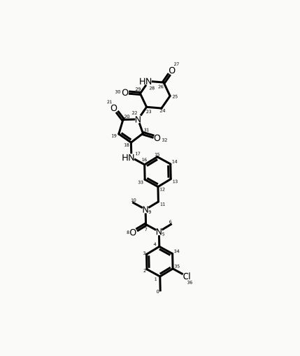 Cc1ccc(N(C)C(=O)N(C)Cc2cccc(NC3=CC(=O)N(C4CCC(=O)NC4=O)C3=O)c2)cc1Cl